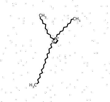 CCCCCCCCCCCCCCCCCn1cc[n+](CCCCCCCCCC)c1CCCCCCCCCC